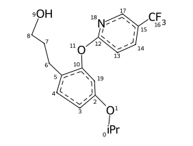 CC(C)Oc1ccc(CCCO)c(Oc2ccc(C(F)(F)F)cn2)c1